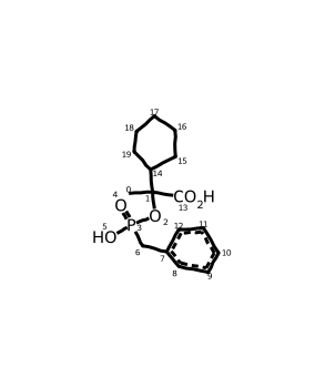 CC(OP(=O)(O)Cc1ccccc1)(C(=O)O)C1CCCCC1